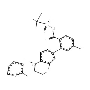 CC(C)(C)S(=O)(=O)NC(=O)c1ccc(F)cc1-c1ccc2c(c1)OC[C@H](Cc1ccccn1)[C@H]2O